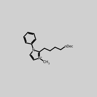 CCCCCCCCCCCCCCc1n(-c2ccccc2)cc[n+]1C